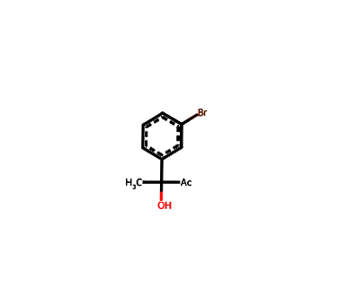 CC(=O)C(C)(O)c1cccc(Br)c1